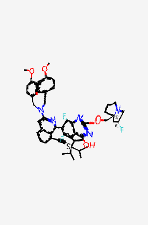 COc1ccc(CN(Cc2ccc(OC)cc2)c2cc3cccc(C#C[Si](C(C)C)(C(C)C)C(C)C)c3c(-c3c(F)cc4c(O)nc(OC[C@@]56CCCN5C[C@H](F)C6)nc4c3F)n2)cc1